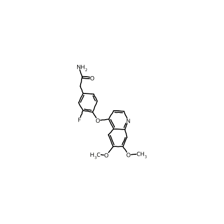 COc1cc2nccc(Oc3ccc(CC(N)=O)cc3F)c2cc1OC